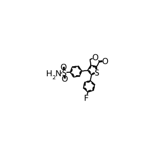 NS(=O)(=O)c1ccc(-c2c(-c3ccc(F)cc3)sc3c2COC3=O)cc1